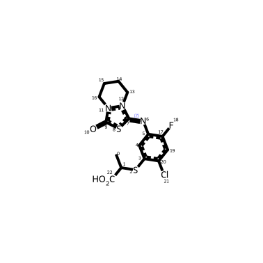 CC(Sc1cc(/N=c2\sc(=O)n3n2CCCC3)c(F)cc1Cl)C(=O)O